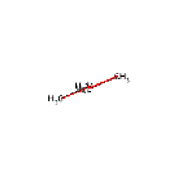 CCCCCCCCCCCCCCCCCCCCCCCCCCCCC(C)C(=O)C(C)CCCCCCCCCCCCCCCCCCCCCCCCCCCC